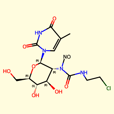 Cc1cn([C@@H]2O[C@H](CO)[C@@H](O)[C@H](O)[C@H]2N(N=O)C(=O)NCCCl)c(=O)[nH]c1=O